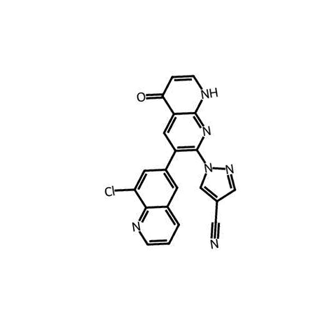 N#Cc1cnn(-c2nc3[nH]ccc(=O)c3cc2-c2cc(Cl)c3ncccc3c2)c1